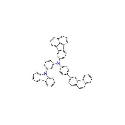 c1cc(N(c2ccc(-c3ccc4ccc5ccccc5c4c3)cc2)c2ccc3c(c2)-c2cccc4cccc-3c24)cc(-n2c3ccccc3c3ccccc32)c1